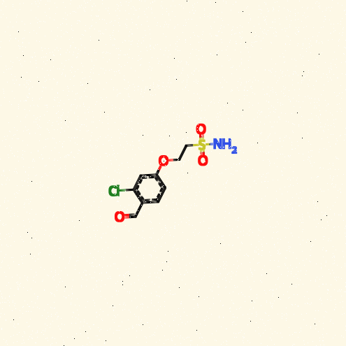 NS(=O)(=O)CCOc1ccc(C=O)c(Cl)c1